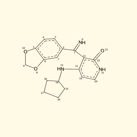 N=C(c1ccc2c(c1)OCO2)c1c(NC2CCCC2)cc[nH]c1=O